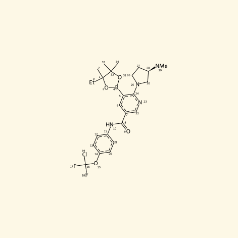 CCC1(C)OB(c2cc(C(=O)Nc3ccc(OC(F)(F)Cl)cc3)cnc2N2CC[C@@H](NC)C2)OC1(C)C